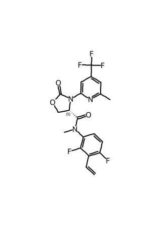 C=Cc1c(F)ccc(N(C)C(=O)[C@@H]2COC(=O)N2c2cc(C(F)(F)F)cc(C)n2)c1F